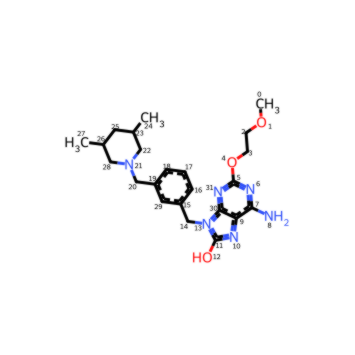 COCCOc1nc(N)c2nc(O)n(Cc3cccc(CN4CC(C)CC(C)C4)c3)c2n1